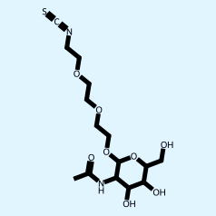 CC(=O)NC1C(OCCOCCOCCN=C=S)OC(CO)C(O)C1O